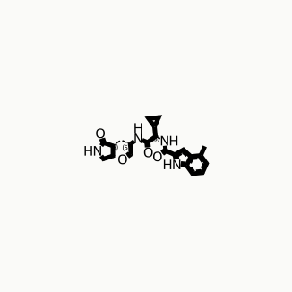 Cc1cccc2[nH]c(C(=O)N[C@H](C(=O)N[C@H](C=O)C[C@@H]3CCNC3=O)C3CC3)cc12